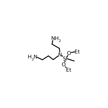 CCO[Si](C)(OCC)N(CCN)CCCN